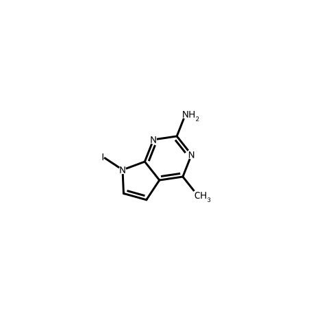 Cc1nc(N)nc2c1ccn2I